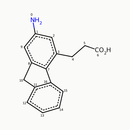 Nc1cc(CCC(=O)O)c2c(c1)Cc1ccccc1-2